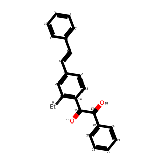 CCc1cc(C=Cc2ccccc2)ccc1C(=O)C(=O)c1ccccc1